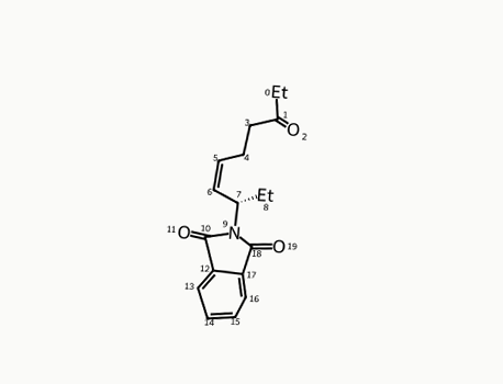 CCC(=O)CC/C=C\[C@H](CC)N1C(=O)c2ccccc2C1=O